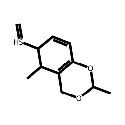 C=[SH]C1C=CC2=C(COC(C)O2)C1C